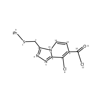 CC(C)SCc1nnc2c(Cl)c(C(=O)Cl)ccn12